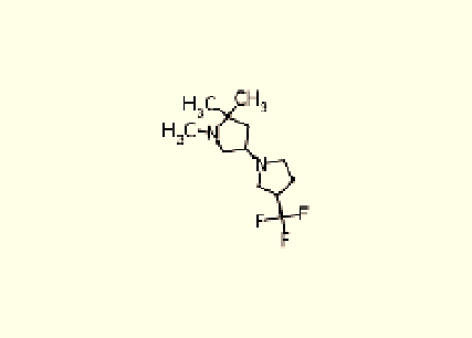 CN1CC(N2CCC(C(F)(F)F)C2)CC1(C)C